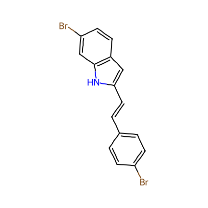 Brc1ccc(C=Cc2cc3ccc(Br)cc3[nH]2)cc1